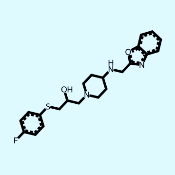 OC(CSc1ccc(F)cc1)CN1CCC(NCc2nc3ccccc3o2)CC1